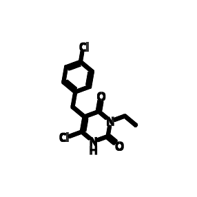 CCn1c(=O)[nH]c(Cl)c(Cc2ccc(Cl)cc2)c1=O